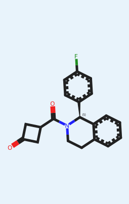 O=C1CC(C(=O)N2CCc3ccccc3[C@@H]2c2ccc(F)cc2)C1